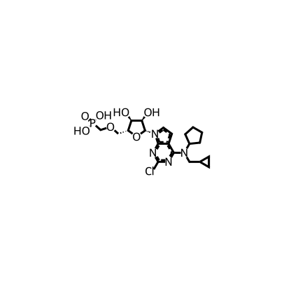 O=P(O)(O)COC[C@H]1O[C@@H](n2ccc3c(N(CC4CC4)C4CCCC4)nc(Cl)nc32)[C@H](O)[C@@H]1O